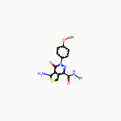 CCCOc1ccc(-n2nc(C(=O)NC(C)C)c3csc(N)c3c2=O)cc1